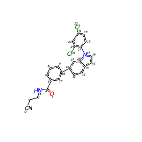 N#CCCNC(=O)c1cccc(-c2ccc3ccn(-c4ccc(Cl)cc4Cl)c3c2)c1